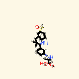 C[S+]([O-])c1ccc2c(c1)CC(C)(C)C(c1cccc(NC(C)(C)C(=O)O)c1)N2